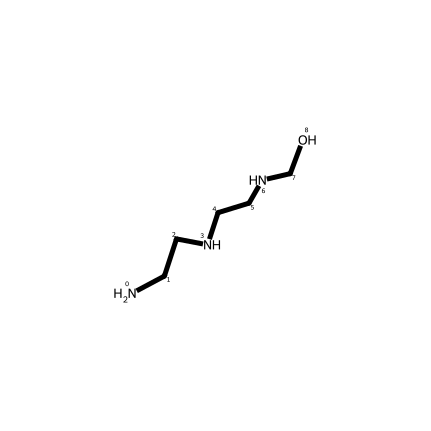 NCCNCCNCO